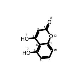 O=c1cc(O)c2c(O)cccc2o1